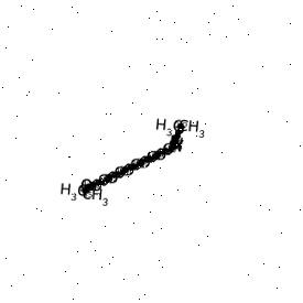 CC(C)CCCCn1cc(COCCOCCOCCOCCOCCOCCOCCOCCOCCOCCC(=O)C(C)C)nn1